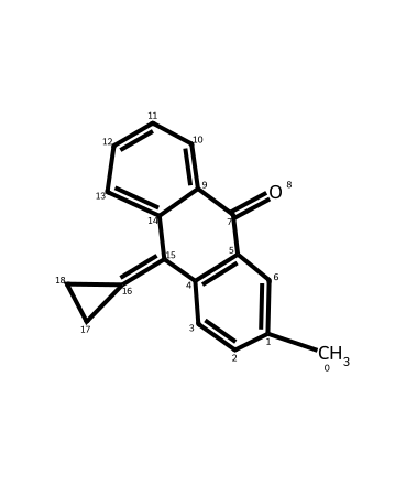 Cc1ccc2c(c1)C(=O)c1ccccc1C2=C1CC1